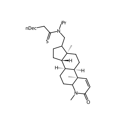 CCCCCCCCCCCC(=S)N(CC1CC[C@H]2[C@@H]3CCC4N(C)C(=O)C=C[C@]4(C)[C@@H]3CC[C@]12C)C(C)C